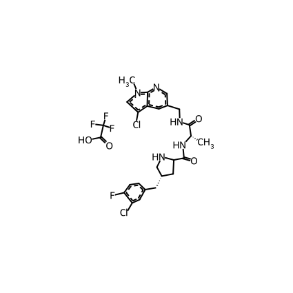 C[C@H](NC(=O)C1C[C@H](Cc2ccc(F)c(Cl)c2)CN1)C(=O)NCc1cnc2c(c1)c(Cl)cn2C.O=C(O)C(F)(F)F